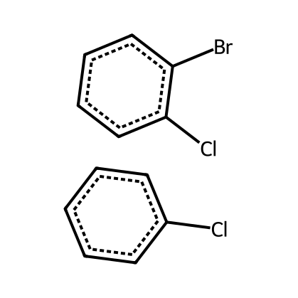 Clc1ccccc1.Clc1ccccc1Br